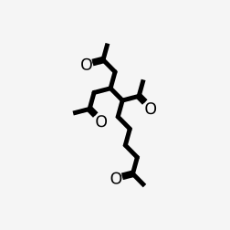 CC(=O)CCCCC(C(C)=O)C(CC(C)=O)CC(C)=O